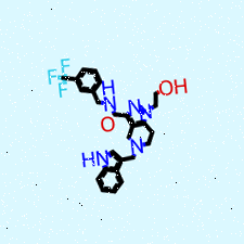 O=C(NCc1cccc(C(F)(F)F)c1)c1nn(CCO)c2c1CN(Cc1c[nH]c3ccccc13)CC2